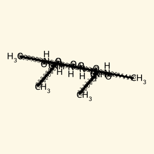 CCCCCCCCCCCCCC(=O)NCCCCC(NC(=O)CCCCCCCCCCCCC)C(=O)NCCCCCNC(=O)CCCC(=O)NCCCCCNC(=O)C(CCCCNC(=O)CCCCCCCCCCCCC)NC(=O)CCCCCCCCCCCCC